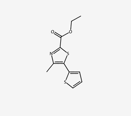 CCOC(=O)c1nc(C)c(-c2cccs2)s1